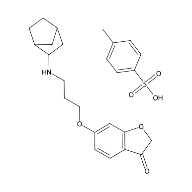 Cc1ccc(S(=O)(=O)O)cc1.O=C1COc2cc(OCCCNC3CC4CCC3C4)ccc21